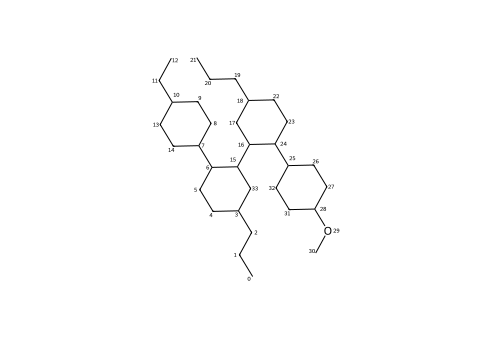 CCCC1CCC(C2CCC(CC)CC2)C(C2CC(CCC)CCC2C2CCC(OC)CC2)C1